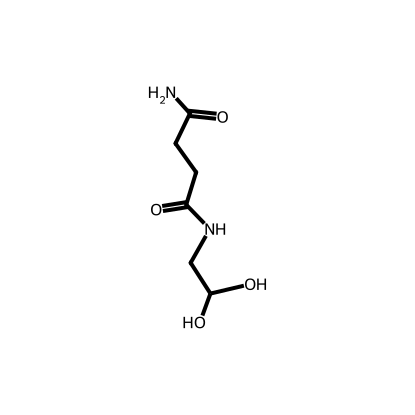 NC(=O)CCC(=O)NCC(O)O